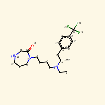 CCN(CCCCN1CCCNCC1=O)[C@@H](C)Cc1ccc(C(F)(F)F)cc1